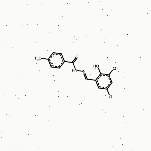 O=C(N/N=C/c1cc(Cl)cc(Cl)c1O)c1ccc(C(F)(F)F)cc1